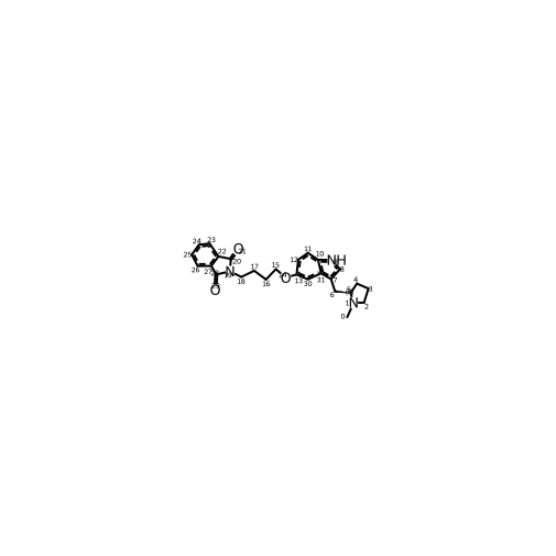 CN1CCC[C@@H]1Cc1c[nH]c2ccc(OCCCCN3C(=O)c4ccccc4C3=O)cc12